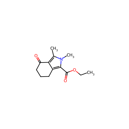 CCOC(=O)c1c2c(c(C)n1C)C(=O)CCC2